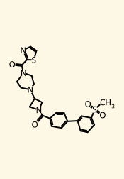 CS(=O)(=O)c1cccc(-c2ccc(C(=O)N3CC(N4CCN(C(=O)c5nccs5)CC4)C3)cc2)c1